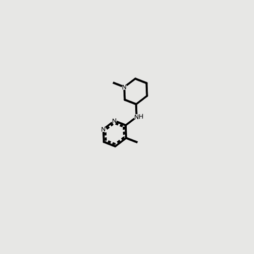 Cc1ccnnc1NC1CCCN(C)C1